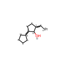 CC(C)C=C1CCC(=C2CCCC2)C1O